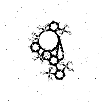 C[Si](C)(C)c1cccc([Si](C)(C)C)c1-c1cc2ccc3c4ccc5c(ccc1c5c24)-c1c([Si](C)(C)C)cccc1[Si](C)(C)C[Si](C)(C)c1cccc([Si](C)(C)C)c1-3